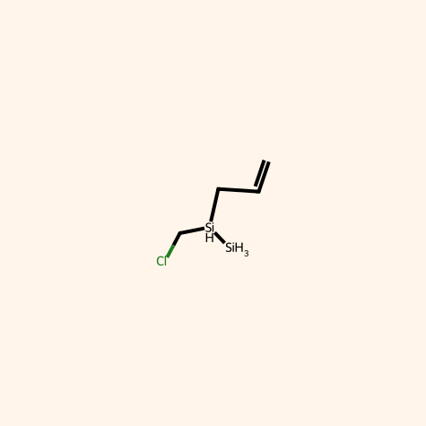 C=CC[SiH]([SiH3])CCl